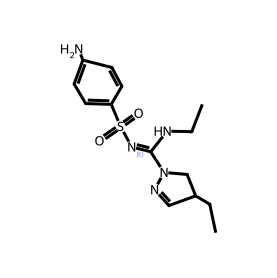 CCN/C(=N\S(=O)(=O)c1ccc(N)cc1)N1CC(CC)C=N1